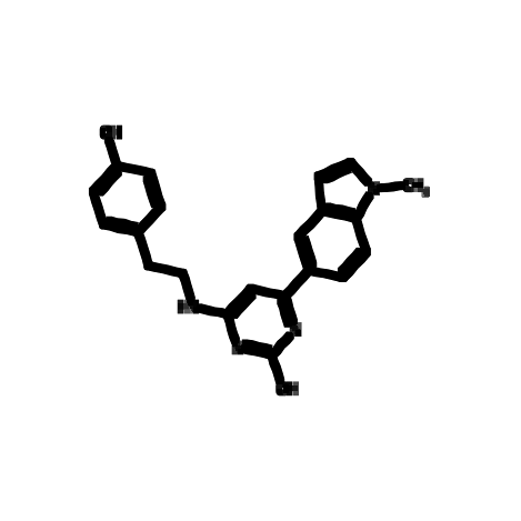 Cn1ccc2cc(-c3cc(NCCc4ccc(O)cc4)nc(O)n3)ccc21